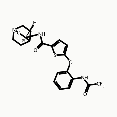 O=C(N[C@H]1CN2CCC1CC2)c1ccc(Oc2ccccc2NC(=O)C(F)(F)F)s1